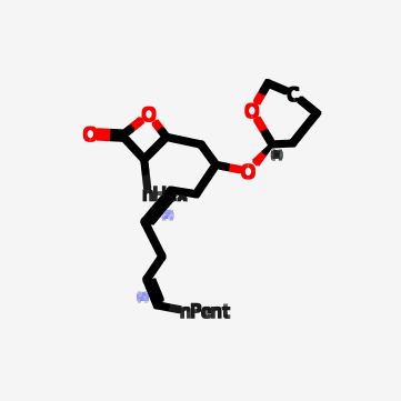 CCCCC/C=C\C/C=C\CC(CC1OC(=O)C1CCCCCC)O[C@@H]1CCCCO1